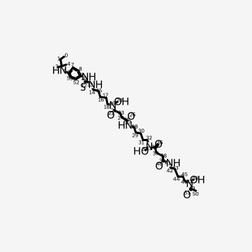 CCC(C)(C)Nc1ccc(NC(=S)NCCCCCN(O)C(=O)CCC(=O)NCCCCCN(O)C(=O)CCC(=O)NCCCCCN(O)C(C)=O)cc1